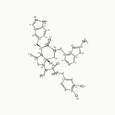 CC(C)N(C(=O)NCc1ccc(Cl)c(Cl)c1)N1CC(=O)N2[C@@H](Cc3ccc4[nH]ncc4c3)C(=O)N(Cc3cccc4sc(N)nc34)C[C@@H]21